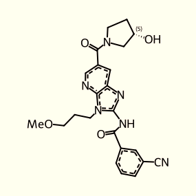 COCCCn1c(NC(=O)c2cccc(C#N)c2)nc2cc(C(=O)N3CC[C@H](O)C3)cnc21